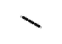 O=S(=O)(c1ccc(Cl)cc1)c1ccc(-c2ccc(S(=O)(=O)c3ccc(-c4ccc(S(=O)(=O)c5ccc(Cl)cc5)cc4)cc3)cc2)cc1